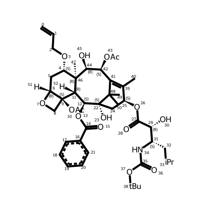 C=CCO[C@H]1C[C@H]2OC[C@@]2(OC(C)=O)[C@H]2[C@H](OC(=O)c3ccccc3)[C@]3(O)C[C@H](OC(=O)[C@H](O)[C@H](CC(C)C)NC(=O)OC(C)(C)C)C(C)=C([C@H](OC(C)=O)[C@H](O)[C@]12C)C3(C)C